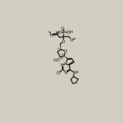 C/N=C(\C)CC(COC)(OC[C@@H]1C[C@@H](O)[C@H](c2ccc3c(NC4CCCC4)nc(Cl)nn23)O1)P(=O)(O)O